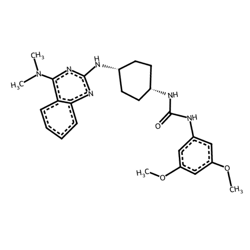 COc1cc(NC(=O)N[C@H]2CC[C@@H](Nc3nc(N(C)C)c4ccccc4n3)CC2)cc(OC)c1